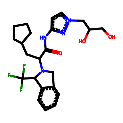 O=C(Nc1ccn(CC(O)CO)n1)C(CC1CCCC1)N1Cc2ccccc2C1C(F)(F)F